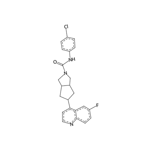 O=C(Nc1ccc(Cl)cc1)N1CC2CC(c3ccnc4ccc(F)cc34)CC2C1